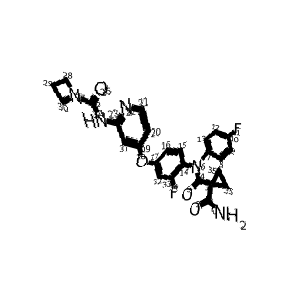 NC(=O)C1(C(=O)N(c2ccc(F)cc2)c2ccc(Oc3ccnc(NC(=O)N4CCC4)c3)cc2F)CC1